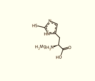 N[C@@H](Cc1cnc(S)[nH]1)C(=O)O.[MgH2]